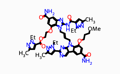 CCn1nc(C)cc1C(=O)Nc1nc2cc(C(N)=O)cc(OCCOC(=O)c3cc(C)nn3CC)c2n1C/C=C/Cn1c2nc(-c3cc(C)nn3CC)ncc2c2cc(C(N)=O)cc(OCCCOC)c21